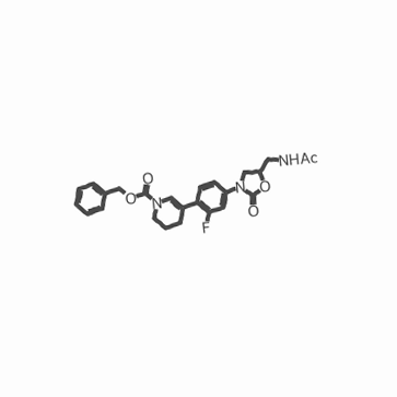 CC(=O)NCC1CN(c2ccc(C3=CN(C(=O)OCc4ccccc4)CCC3)c(F)c2)C(=O)O1